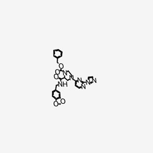 O=C(NCc1ccc2c(c1)OCO2)C1CN(c2ccnc(-n3ccnc3)n2)CCN1C(=O)OCc1ccccc1